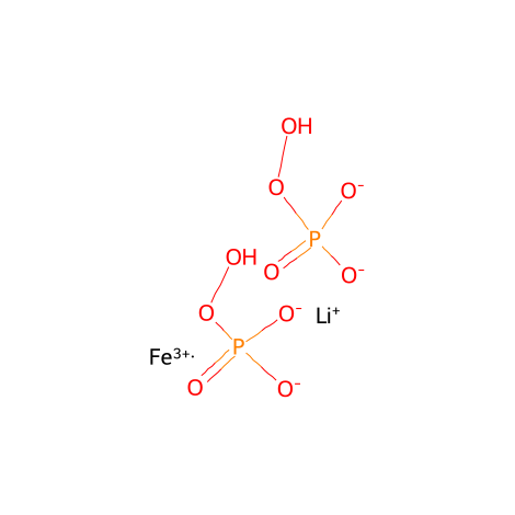 O=P([O-])([O-])OO.O=P([O-])([O-])OO.[Fe+3].[Li+]